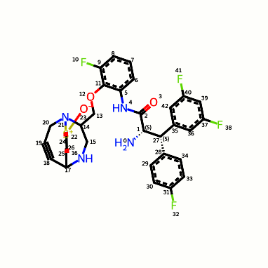 N[C@H](C(=O)Nc1cccc(F)c1OCC1CNC2C#CCN1[S+]([O-])CCC2)[C@@H](c1ccc(F)cc1)c1cc(F)cc(F)c1